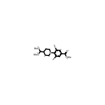 COC(=O)c1cc(F)c(N2CCC(C(OC)OC)CC2)c(F)c1